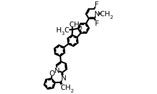 C=N/C(F)=C(\C=C/CF)c1ccc2c(c1)C(C)(C)c1cc(-c3cccc(C4=CN5Oc6ccccc6C(=C)N=C5C=C4)c3)ccc1-2